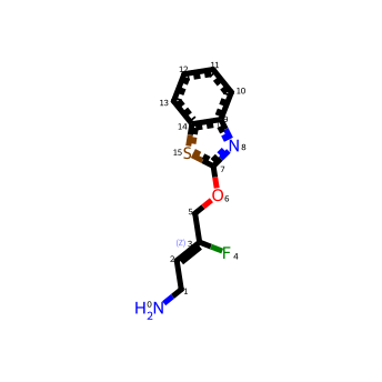 NC/C=C(\F)COc1nc2ccccc2s1